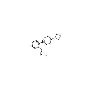 NCc1c[c]ccc1N1CCN(C2CCC2)CC1